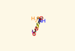 O=C(I)CCOCSSCCNC(=O)P